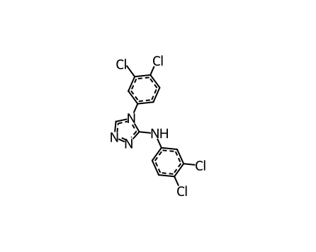 Clc1ccc(Nc2nncn2-c2ccc(Cl)c(Cl)c2)cc1Cl